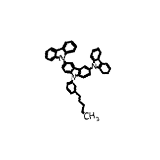 CCCCCc1cccc(-n2c3ccc(-n4c5c(c6ccccc64)C=CCC5)cc3c3cc(-n4c5ccccc5c5ccccc54)ccc32)c1